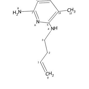 C=CCCNc1nc(N)ccc1C